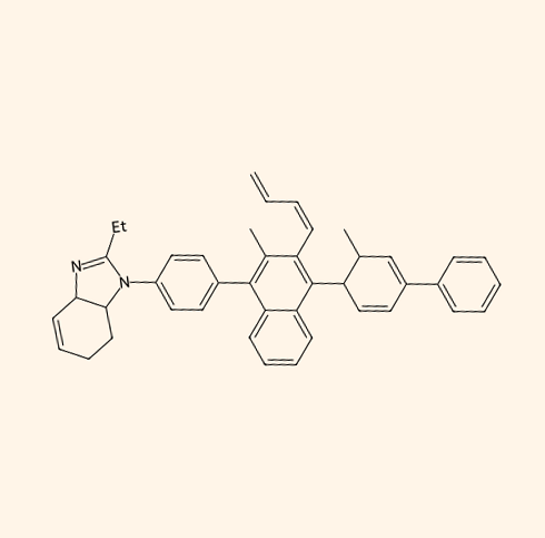 C=C/C=C\c1c(C)c(-c2ccc(N3C(CC)=NC4C=CCCC43)cc2)c2ccccc2c1C1C=CC(c2ccccc2)=CC1C